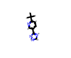 CC(C)(C)c1ccc(C2=NCN=N2)cn1